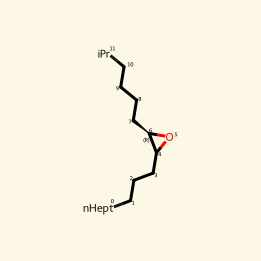 CCCCCCCCCCC1O[C@@H]1CCCCC(C)C